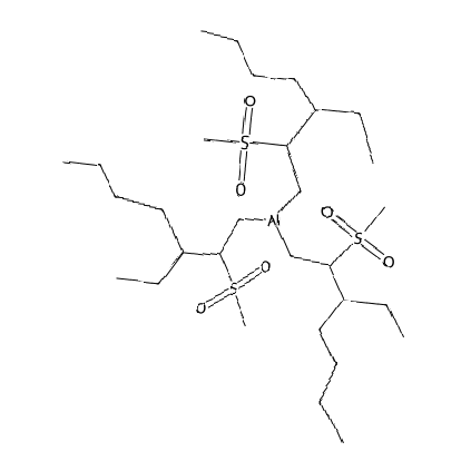 CCCCC(CC)C([CH2][Al]([CH2]C(C(CC)CCCC)S(C)(=O)=O)[CH2]C(C(CC)CCCC)S(C)(=O)=O)S(C)(=O)=O